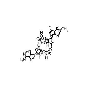 Cn1cnc2c(c(F)cn2[C@@H]2OC3COP(=O)(S)O[C@@H]4C(COP(=O)(O)O[C@@H]2[C@@H]3O)O[C@@H](n2cnc3c(N)ncnc32)[C@@H]4F)c1=O